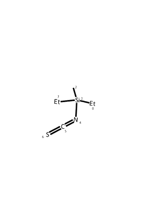 CC[Si](C)(CC)N=C=S